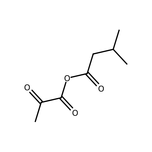 CC(=O)C(=O)OC(=O)CC(C)C